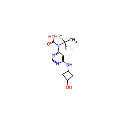 CC(C)(C)N(C(=O)O)c1cc(NC2CC(O)C2)ncn1